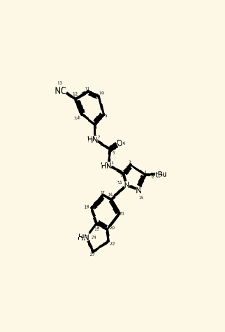 CC(C)(C)c1cc(NC(=O)Nc2cccc(C#N)c2)n(-c2ccc3c(c2)CCN3)n1